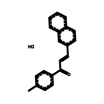 Cc1ccc(C(=O)C=Cc2ccc3ccccc3c2)cc1.Cl